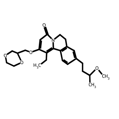 CCc1c(OCC2COCCO2)cc(=O)n2c1-c1ccc(CCC(C)OC)cc1CC2